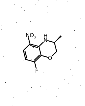 C[C@H]1COc2c(F)ccc([N+](=O)[O-])c2N1